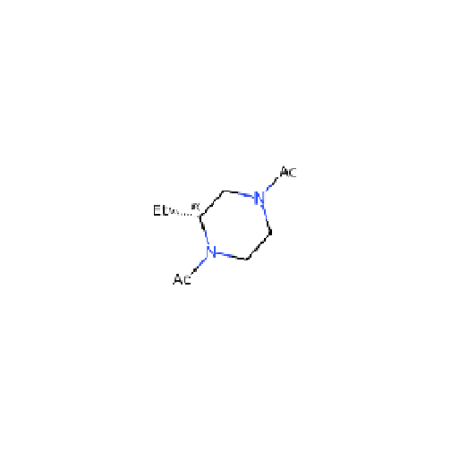 CC[C@@H]1CN(C(C)=O)CCN1C(C)=O